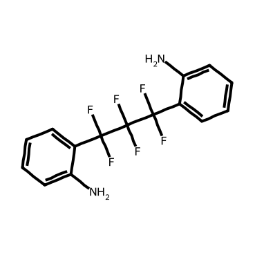 Nc1ccccc1C(F)(F)C(F)(F)C(F)(F)c1ccccc1N